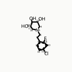 OC1[C@H](O)CN(CCc2ccc(Cl)cc2F)C[C@@H]1O